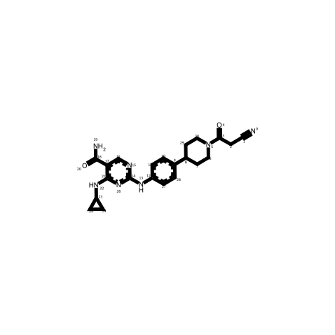 N#CCC(=O)N1CCC(c2ccc(Nc3ncc(C(N)=O)c(NC4CC4)n3)cc2)CC1